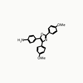 COc1ccc(-c2nc(-c3ccc(OC)cc3)c(-c3ccc(N)cc3)o2)cc1